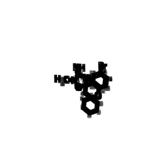 CN1OC2(CC3(CCCCC3)Oc3ccc(Br)cc32)NC1=N